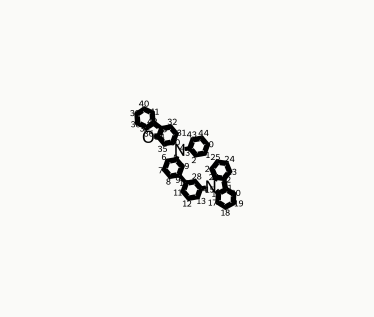 c1ccc(N(c2cccc(-c3cccc(-n4c5ccccc5c5ccccc54)c3)c2)c2ccc3c(c2)oc2ccccc23)cc1